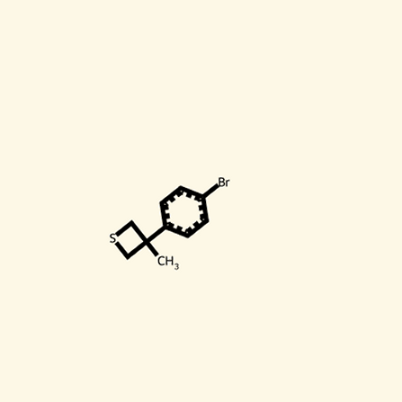 CC1(c2ccc(Br)cc2)CSC1